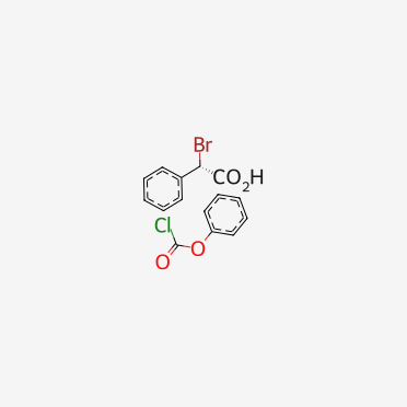 O=C(Cl)Oc1ccccc1.O=C(O)[C@@H](Br)c1ccccc1